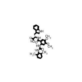 COc1cc(NC(=O)Nc2c(C)cccc2C)c(C(=O)N[C@@H](Cc2c[nH]c3ccccc23)C(=O)O)cc1OC